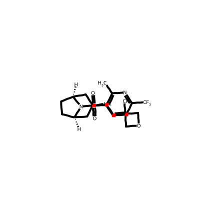 Cc1nc(C(F)(F)F)ccc1S(=O)(=O)N1[C@@H]2CC[C@H]1C[C@@H](NCC1(C)COC1)C2